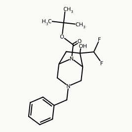 CC(C)(C)OC(=O)N1C2CN(Cc3ccccc3)CC1C(O)(C(F)F)C2